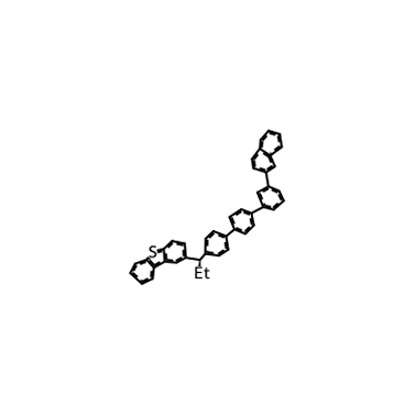 CC[C@H](c1ccc(-c2ccc(-c3cccc(-c4ccc5ccccc5c4)c3)cc2)cc1)c1ccc2sc3ccccc3c2c1